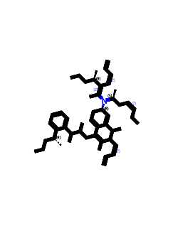 C=C/C=C\C(=C(\C)N([C@@H](C)C/C=C\CC)[C@H]1C=C2C(=CC1)C(CC(C)C(C)c1ccccc1[C@H](C)CCC)=C(C)C(/C=C\C=C)C2C)[C@H](C)CCC